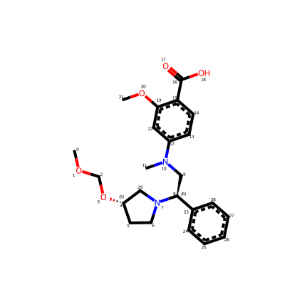 COCO[C@H]1CCN([C@@H](CN(C)c2ccc(C(=O)O)c(OC)c2)c2ccccc2)C1